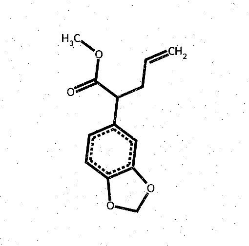 C=CCC(C(=O)OC)c1ccc2c(c1)OCO2